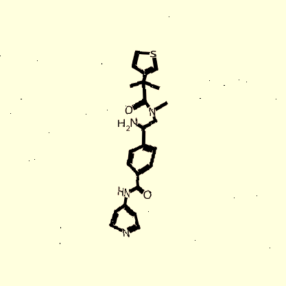 CN(CC(N)c1ccc(C(=O)Nc2ccncc2)cc1)C(=O)C(C)(C)c1ccsc1